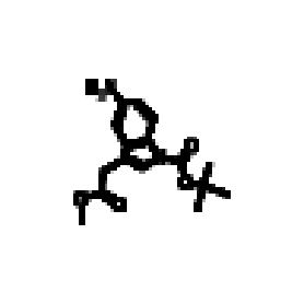 COC(=O)Cc1cn(C(=O)OC(C)(C)C)c2ccc(N)cc12